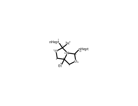 [2H]C1(CCCCCCC)OCC2(CC)COC(CCCCCCC)N21